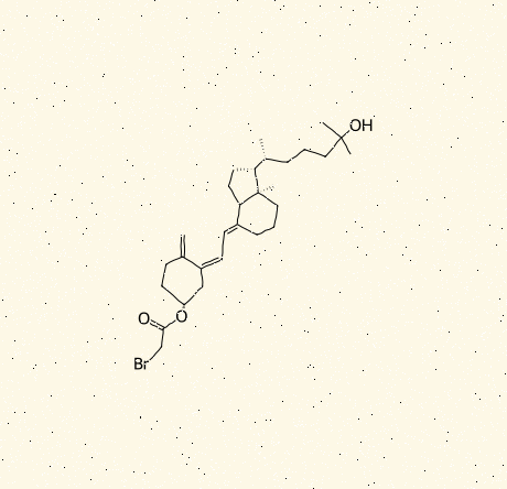 C=C1CC[C@@H](OC(=O)CBr)C/C1=C/C=C1CCC[C@@]2(C)C1CC[C@@H]2[C@H](C)CCCC(C)(C)O